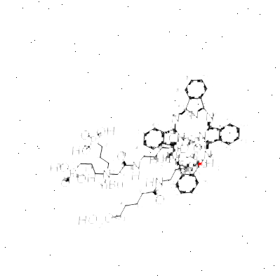 CCCC[N+](CCCP(=O)(O)O)(CCCP(=O)(O)O)CC(=O)NCCC[Si](C)(C)O[Si]1(O[Si](C)(C)CCCNC(=O)CCCCC(=O)O)n2c3c4ccccc4c2/N=C2N=C(/N=c4/c5ccccc5/c(n41)=N/C1=NC(=N\3)/c3ccccc31)c1ccccc1\2